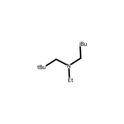 CCC(C)CN(CC)CC(C)(C)C